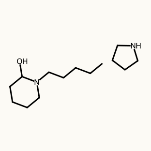 C1CCNC1.CCCCCN1CCCCC1O